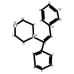 C(=C(c1ccccc1)N1CCOCC1)c1ccccc1